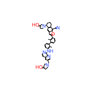 Cc1c(Nc2nccc3cc(CN4CC[C@@H](O)C4)cnc23)cccc1-c1cccc(-c2cc3cc4c(c(C#N)c3o2)CCCC4N2CC[C@@H](O)C2)c1C